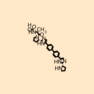 C[C@H](NC(=O)O)C(=O)N1CCC[C@H]1c1ncc(-c2ccc(-c3ccc(-c4cnc([C@@H]5CCCN5)[nH]4)cc3)cc2)[nH]1